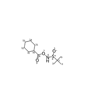 CC(C)(C)[S+]([O-])NOC(=O)C1CCCCC1